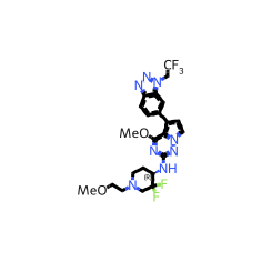 COCCN1CC[C@@H](Nc2nc(OC)c3c(-c4ccc5nnn(CC(F)(F)F)c5c4)ccn3n2)C(F)(F)C1